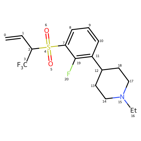 C=CC(C(F)(F)F)S(=O)(=O)c1cccc(C2CCN(CC)CC2)c1F